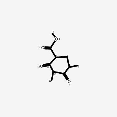 COC(=O)C1CC(C)C(=O)C(C)C1=O